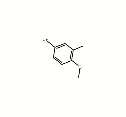 COc1ccc(S)cc1C